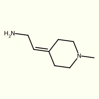 CN1CCC(=CCN)CC1